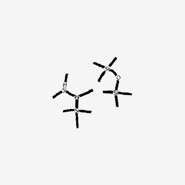 CN([SiH](C)C)[Si](C)(C)C.C[Si](C)(C)O[Si](C)(C)C